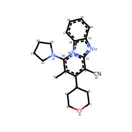 Cc1c(C2CCOCC2)c(C#N)c2nc3ccccc3n2c1N1CCCC1